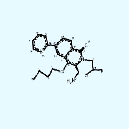 CCCCOc1c(CN)n(CC(C)C)c(=O)c2ccc(-c3ccccn3)cc12